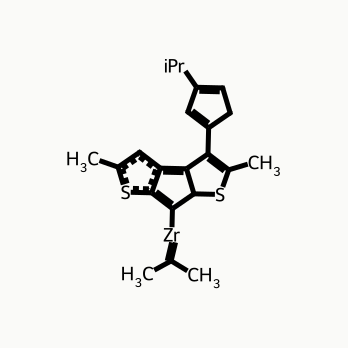 C[C](C)=[Zr][C]1=c2sc(C)cc2=C2C(C3=CC(C(C)C)=CC3)=C(C)SC21